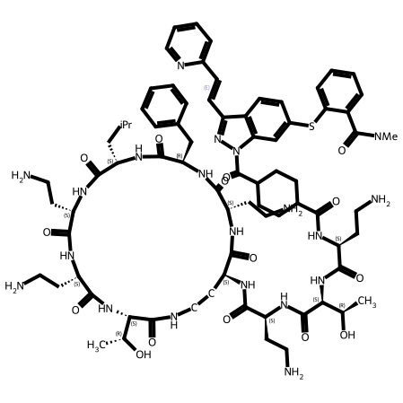 CNC(=O)c1ccccc1Sc1ccc2c(/C=C/c3ccccn3)nn(C(=O)C3CCC(C(=O)N[C@@H](CCN)C(=O)N[C@H](C(=O)N[C@@H](CCN)C(=O)N[C@H]4CCNC(=O)[C@H]([C@@H](C)O)NC(=O)[C@H](CCN)NC(=O)[C@H](CCN)NC(=O)[C@H](CC(C)C)NC(=O)[C@@H](Cc5ccccc5)NC(=O)[C@H](CCN)NC4=O)[C@@H](C)O)CC3)c2c1